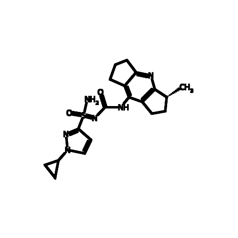 C[C@@H]1CCc2c1nc1c(c2NC(=O)N=S(N)(=O)c2ccn(C3CC3)n2)CCC1